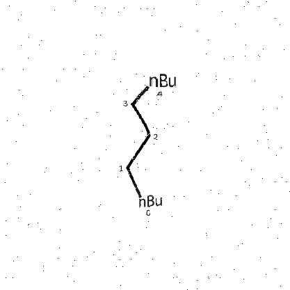 [CH2]C[CH]CCCCCCCC